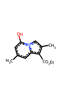 CCOC(=O)c1c(C)cn2c(O)cc(C)cc12